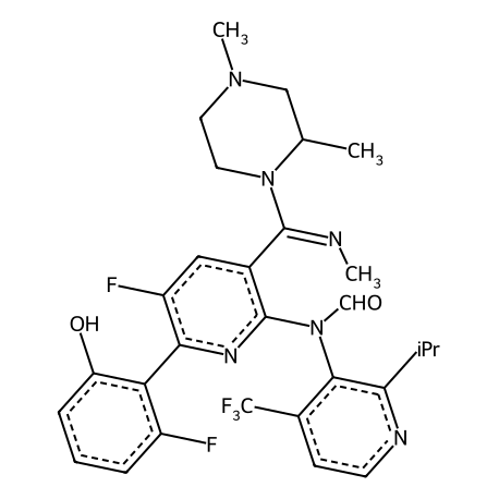 C/N=C(\c1cc(F)c(-c2c(O)cccc2F)nc1N(C=O)c1c(C(F)(F)F)ccnc1C(C)C)N1CCN(C)CC1C